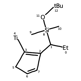 CCC(C1=[C]([Ti])CC=C1)[Si](C)(C)OC(C)(C)C